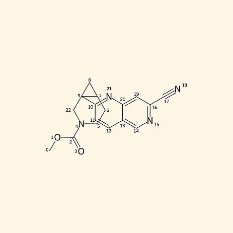 COC(=O)N1CCC2CC2(c2ccc3cnc(C#N)cc3n2)C1